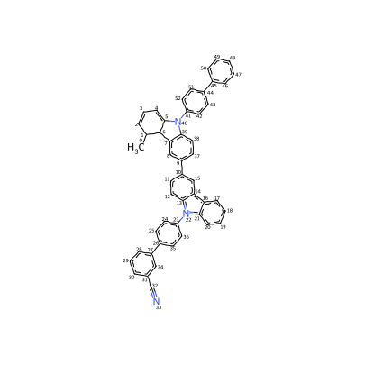 CC1C=CC=C2C1c1cc(-c3ccc4c(c3)c3ccccc3n4-c3ccc(-c4cccc(C#N)c4)cc3)ccc1N2c1ccc(-c2ccccc2)cc1